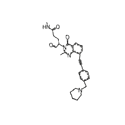 CNC(=O)CCC(C=O)n1c(C)nc2c(C#Cc3ccc(CN4CCCCC4)cc3)cccc2c1=O